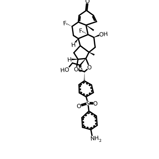 C[C@]12C=CC(=O)C=C1[C@@H](F)C[C@H]1C3C[C@H]4O[C@@H](c5ccc(S(=O)(=O)c6ccc(N)cc6)cc5)O[C@@]4(C(=O)CO)[C@@]3(C)C[C@H](O)[C@@]12F